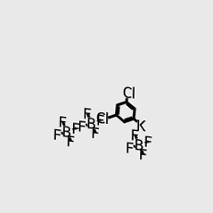 Clc1cc(Cl)c[c]([K])c1.F[B-](F)(F)F.F[B-](F)(F)F.F[B-](F)(F)F